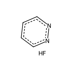 F.c1ccnnc1